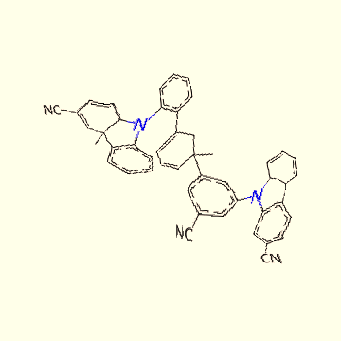 CC1(c2cc(C#N)cc(N3c4cc(C#N)ccc4C4C=CC=CC43)c2)C=CC=C(c2ccccc2N2c3ccccc3C3(C)C=C(C#N)C=CC23)C1